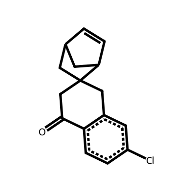 O=C1CC2(Cc3cc(Cl)ccc31)CC1C=CC2C1